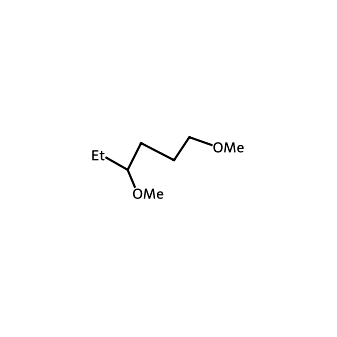 CCC(CCCOC)OC